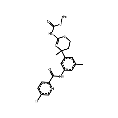 Cc1cc(NC(=O)c2ccc(Cl)cn2)cc(C2(C)CCSC(NC(=O)OC(C)(C)C)=N2)c1